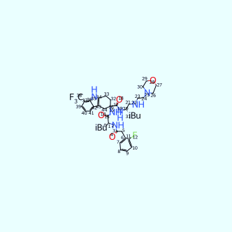 CCC(C)[C@H](NC(=O)Cc1ccccc1F)C(=O)N[C@]1(C(=O)NC(CNCCN2CCOCC2)[C@@H](C)CC)CCc2[nH]c3c(C(F)(F)F)cccc3c2C1